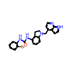 O=C(Nc1ccccc1Br)Nc1cccc2c1CCN2Cc1ccnc2[nH]ccc12